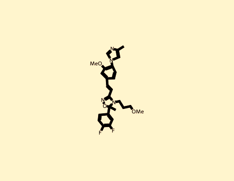 COCCCN1C(/C=C/c2ccc(-n3cnc(C)c3)c(OC)c2)=NOC1(C)c1ccc(F)c(F)c1